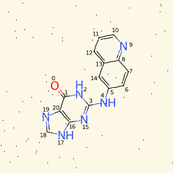 O=c1[nH]c(Nc2ccc3ncccc3c2)nc2[nH]cnc12